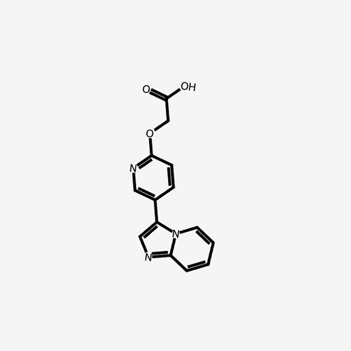 O=C(O)COc1ccc(-c2cnc3ccccn23)cn1